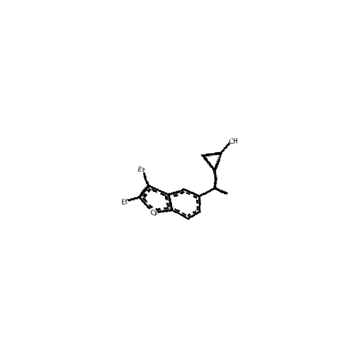 CCc1oc2ccc(C(C)C3CC3O)cc2c1CC